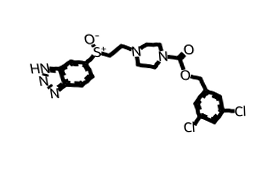 O=C(OCc1cc(Cl)cc(Cl)c1)N1CCN(CC[S+]([O-])c2ccc3nn[nH]c3c2)CC1